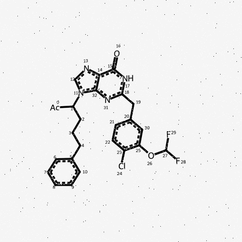 CC(=O)C(CCCc1ccccc1)n1cnc2c(=O)[nH]c(Cc3ccc(Cl)c(OC(F)F)c3)nc21